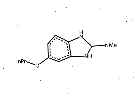 CCCOc1ccc2c(c1)NC(NC)N2